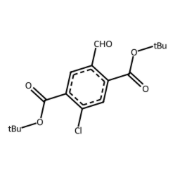 CC(C)(C)OC(=O)c1cc(C=O)c(C(=O)OC(C)(C)C)cc1Cl